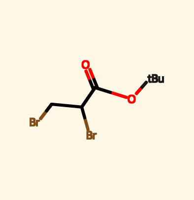 CC(C)(C)OC(=O)C(Br)CBr